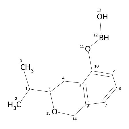 CC(C)C1Cc2c(cccc2OBO)CO1